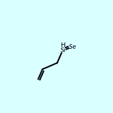 C=CC[SiH]=[Se]